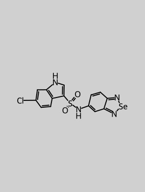 O=S(=O)(Nc1ccc2n[se]nc2c1)c1c[nH]c2cc(Cl)ccc12